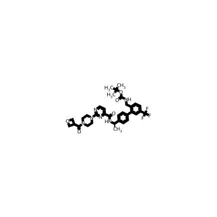 C[C@@H](NC(=O)c1ccnc(N2CCN(C(=O)C3COC3)CC2)n1)c1ccc(-c2cc(C(F)(F)F)ccc2CNC(=O)OC(C)(C)C)cc1